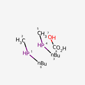 CCCCPC.CCCCPC.O=C(O)O